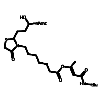 CCCCCC(O)CCC1SCC(=O)N1CCCCCCC(=O)OC(C)=CC(=O)NC(C)(C)C